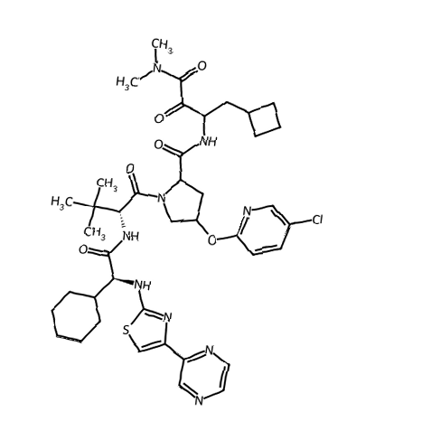 CN(C)C(=O)C(=O)C(CC1CCC1)NC(=O)C1CC(Oc2ccc(Cl)cn2)CN1C(=O)[C@H](NC(=O)[C@@H](Nc1nc(-c2cnccn2)cs1)C1CCCCC1)C(C)(C)C